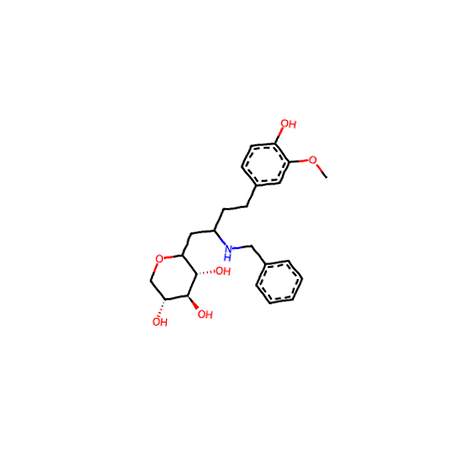 COc1cc(CCC(CC2OC[C@@H](O)[C@H](O)[C@H]2O)NCc2ccccc2)ccc1O